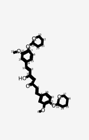 COc1cc(/C=C/C(=O)/C=C(O)/C=C/c2ccc(OC3CCCCO3)c(OC)c2)ccc1OC1CCCCO1